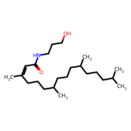 CC(=CC(=O)NCCCO)CCCC(C)CCCC(C)CCCC(C)C